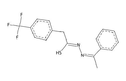 CC(=NN=C(S)Cc1ccc(C(F)(F)F)cc1)c1ccccc1